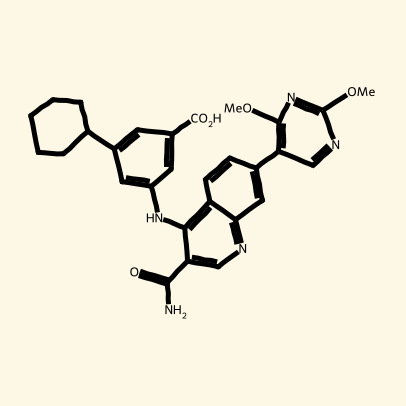 COc1ncc(-c2ccc3c(Nc4cc(C(=O)O)cc(C5CCCCC5)c4)c(C(N)=O)cnc3c2)c(OC)n1